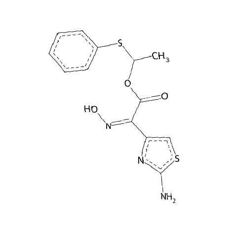 CC(OC(=O)C(=NO)c1csc(N)n1)Sc1ccccc1